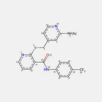 CC(=O)Nc1cc(CSc2ncccc2C(=O)Nc2ccc(C(F)(F)F)cc2)ccn1